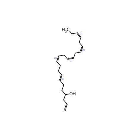 CC/C=C\C/C=C\C/C=C\C/C=C\CC/C=C/CCC(O)CC=S